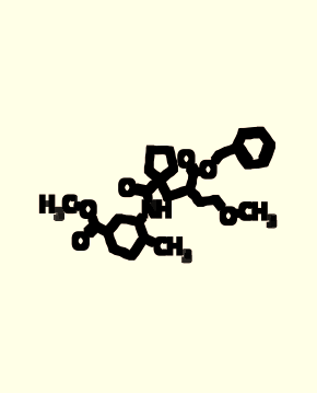 COCCC(CC1(C(=O)NC2CC(C(=O)OC)CCC2C)CCCC1)C(=O)OCc1ccccc1